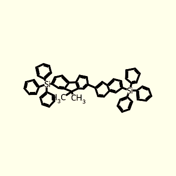 CC1(C)c2cc(-c3ccc4cc([Si](c5ccccc5)(c5ccccc5)c5ccccc5)ccc4c3)ccc2-c2ccc([Si](c3ccccc3)(c3ccccc3)c3ccccc3)cc21